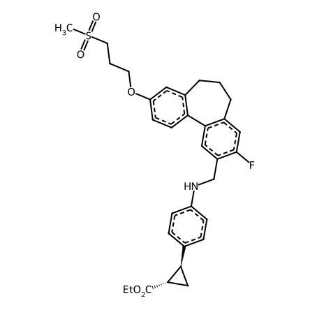 CCOC(=O)[C@H]1C[C@@H]1c1ccc(NCc2cc3c(cc2F)CCCc2cc(OCCCS(C)(=O)=O)ccc2-3)cc1